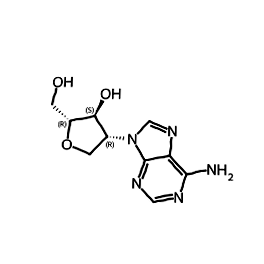 Nc1ncnc2c1ncn2[C@@H]1CO[C@H](CO)[C@H]1O